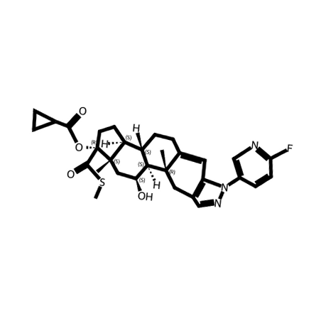 CSC(=O)[C@@]1(OC(=O)C2CC2)CC[C@H]2[C@@H]3CCC4=Cc5c(cnn5-c5ccc(F)nc5)C[C@]4(C)[C@H]3[C@@H](O)C[C@@]21C